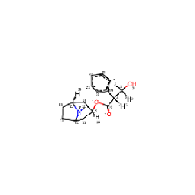 [2H]C(C)(O)C([2H])(C(=O)O[C@@]1([2H])CC2CC[C@H](C1)N2C)c1ccccc1